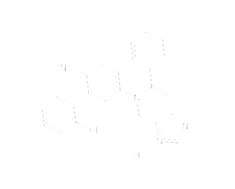 Cc1ccccc1-c1cc(N(Cc2cncn2C)C(=O)c2ccccc2)ccc1C#N